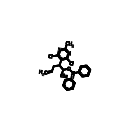 C=CCC(c1c(Cl)nc(C)nc1Cl)C(O[SiH](c1ccccc1)c1ccccc1)C(C)(C)C